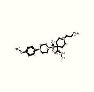 CCCCOc1ccc(N2CCN(S(=O)(=O)C3(C(=O)NO)CCN(CCOC)CC3)CC2)cc1